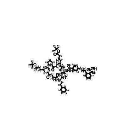 CC(C)C[C@H](NC(=O)[C@H](CCc1ccccc1)NC(=O)CNC(=O)[C@H](CCCNC(=O)OC(C)(C)C)NC(=O)[C@@H]1CCCN1C(=O)CNC(=O)CCCC(=O)OC(C)(C)C)C(=O)NNC(=O)c1ccc(NN=Cc2ccccc2S(=O)(=O)O)nc1